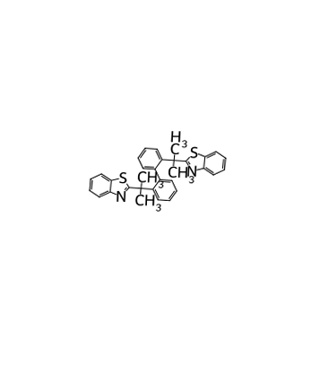 CC(C)(c1nc2ccccc2s1)c1ccccc1-c1ccccc1C(C)(C)c1nc2ccccc2s1